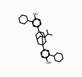 CC(C)C12CC3CC(c4ccc(O)c(C5CCCCC5)c4)(CC(c4ccc(O)c(C5CCCCC5)c4)(C3)C1)C2